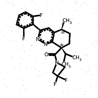 CC(C)[C@]1(C(=O)N2CC(F)(F)C2)CC[C@H](C)c2cc(-c3c(F)cccc3F)nnc21